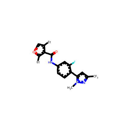 CCc1coc(CC)c1C(=O)Nc1ccc(-c2cc(C(F)(F)F)nn2C)c(F)c1